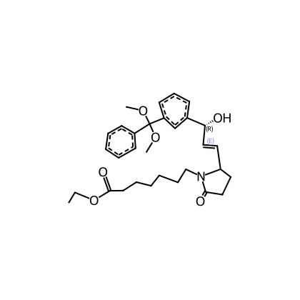 CCOC(=O)CCCCCCN1C(=O)CCC1/C=C/[C@@H](O)c1cccc(C(OC)(OC)c2ccccc2)c1